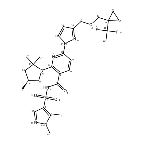 Cc1c(S(=O)(=O)NC(=O)c2ccc(-n3ccc(COCC4(C(C)(F)F)CC4)n3)nc2N2C[C@@H](C)CC2(C)C)cnn1C